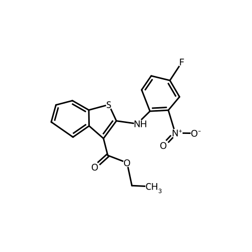 CCOC(=O)c1c(Nc2ccc(F)cc2[N+](=O)[O-])sc2ccccc12